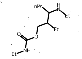 CCCC(NCC)C(CC)COC(=O)NCC